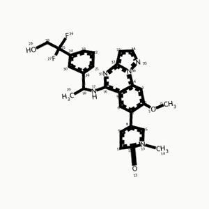 COc1cc2c(cc1-c1ccc(=O)n(C)c1)c(NC(C)c1cccc(C(F)(F)CO)c1)nc1ccnn12